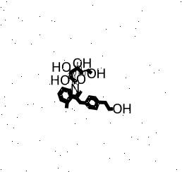 Cc1cccc2c1c(Cc1ccc(CCO)cc1)cn2[C@@H]1O[C@H](CO)[C@@H](O)[C@H](O)[C@H]1O